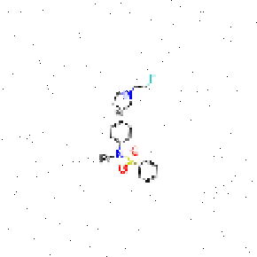 CC(C)N(c1ccc([C@@H]2CCN(CCF)C2)cc1)S(=O)(=O)c1ccccc1